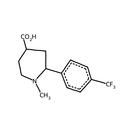 CN1CCC(C(=O)O)CC1c1ccc(C(F)(F)F)cc1